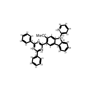 COc1cc2c(cc1-c1nc(-c3ccccc3)nc(-c3ccccc3)n1)c1ccccc1n2-c1ccccn1